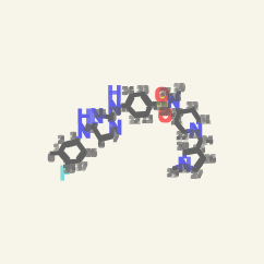 Cc1cc(Nc2ccnc(Nc3ccc(S(=O)(=O)N(C)C4CCN(Cc5ccn(C)c5)CC4)cc3)n2)ccc1F